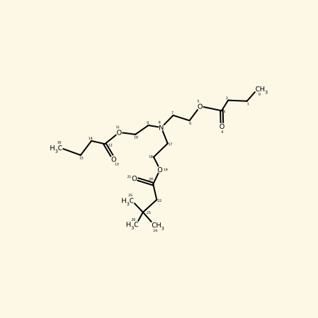 CCCC(=O)OCCN(CCOC(=O)CCC)CCOC(=O)CC(C)(C)C